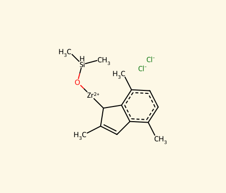 CC1=Cc2c(C)ccc(C)c2[CH]1[Zr+2][O][SiH](C)C.[Cl-].[Cl-]